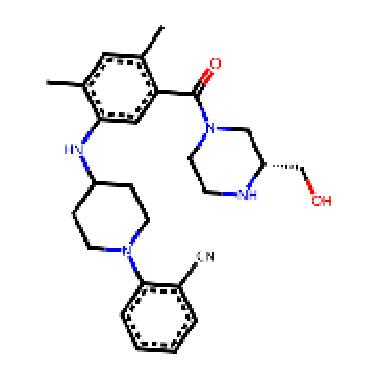 Cc1cc(C)c(C(=O)N2CCN[C@@H](CO)C2)cc1NC1CCN(c2ccccc2C#N)CC1